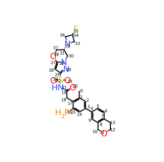 Cc1cc(-c2ccc3c(c2)COCC3)cc(P)c1CC(=O)NS(=O)(=O)c1cc2n(n1)C[C@@H](N1CC(F)C1)CO2